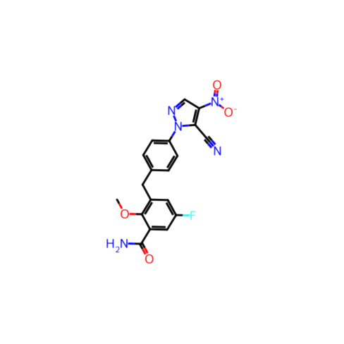 COc1c(Cc2ccc(-n3ncc([N+](=O)[O-])c3C#N)cc2)cc(F)cc1C(N)=O